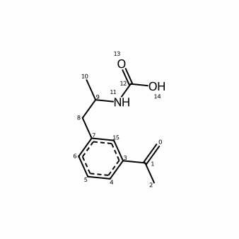 C=C(C)c1cccc(CC(C)NC(=O)O)c1